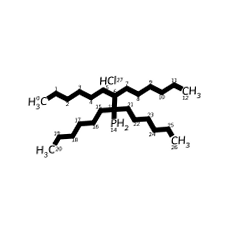 CCCCCCC(CCCCCC)C(P)(CCCCCC)CCCCCC.Cl